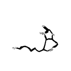 CCCCCCC1SCC2NC(=O)NC21